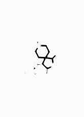 C[C@@H]1OC(C(C)(C)C)C2(CCN(C(=O)O)CC2)[C@@H]1N[S@+]([O-])C(C)(C)C